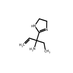 C=CC(N)(CC)C1=NCCN1